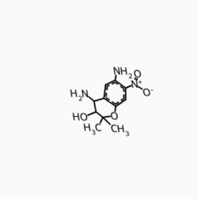 CC1(C)Oc2cc([N+](=O)[O-])c(N)cc2C(N)C1O